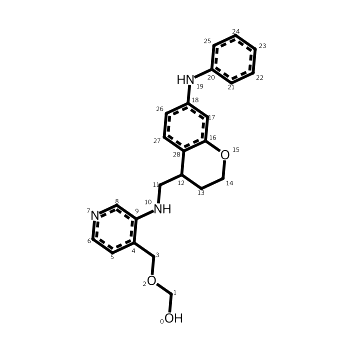 OCOCc1ccncc1NCC1CCOc2cc(Nc3ccccc3)ccc21